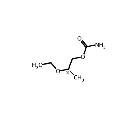 CCO[C@@H](C)COC(N)=O